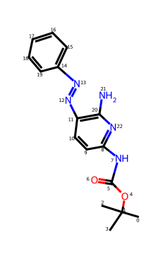 CC(C)(C)OC(=O)Nc1ccc(N=Nc2ccccc2)c(N)n1